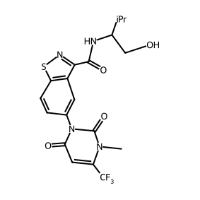 CC(C)C(CO)NC(=O)c1nsc2ccc(-n3c(=O)cc(C(F)(F)F)n(C)c3=O)cc12